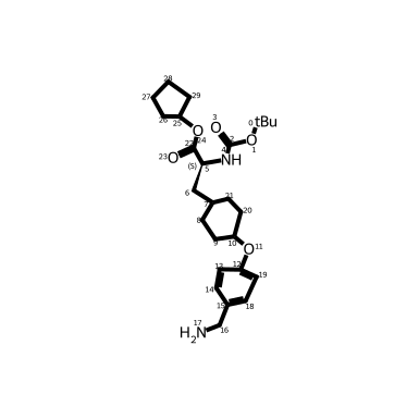 CC(C)(C)OC(=O)N[C@@H](CC1CCC(Oc2ccc(CN)cc2)CC1)C(=O)OC1CCCC1